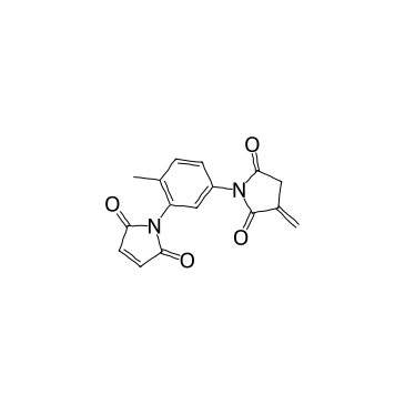 C=C1CC(=O)N(c2ccc(C)c(N3C(=O)C=CC3=O)c2)C1=O